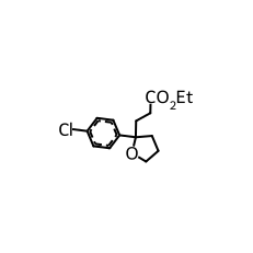 CCOC(=O)CCC1(c2ccc(Cl)cc2)CCCO1